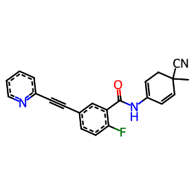 CC1(C#N)C=CC(NC(=O)c2cc(C#Cc3ccccn3)ccc2F)=CC1